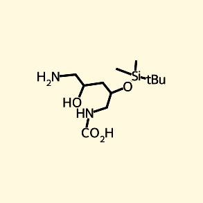 CC(C)(C)[Si](C)(C)OC(CNC(=O)O)CC(O)CN